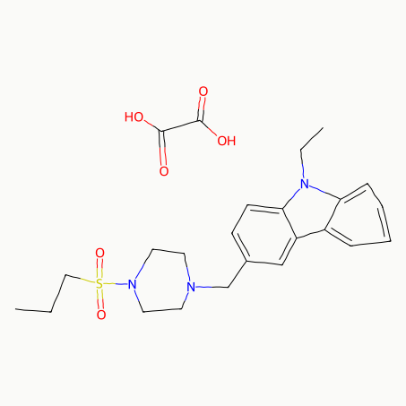 CCCS(=O)(=O)N1CCN(Cc2ccc3c(c2)c2ccccc2n3CC)CC1.O=C(O)C(=O)O